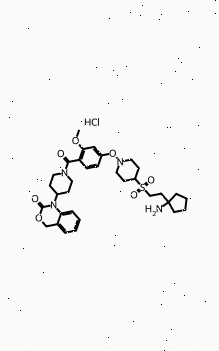 COc1cc(ON2CCC(S(=O)(=O)CCC3(N)CCCC3)CC2)ccc1C(=O)N1CCC(N2C(=O)OCc3ccccc32)CC1.Cl